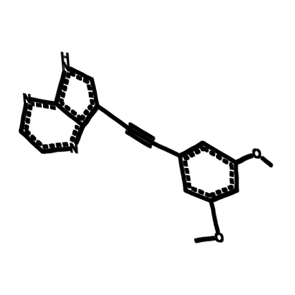 COc1cc(C#Cc2c[nH]c3nccnc23)cc(OC)c1